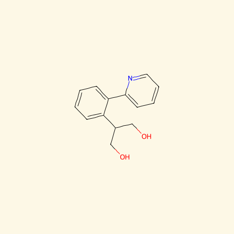 OCC(CO)c1ccccc1-c1ccccn1